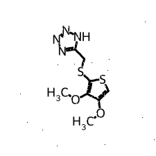 COc1csc(SCc2nnn[nH]2)c1OC